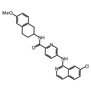 COc1ccc2c(c1)CCC(NC(=O)c1ccc(Nc3nccc4ccc(Cl)cc34)cn1)C2